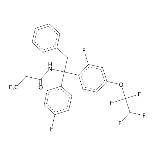 O=C(CC(F)(F)F)NC(Cc1ccccc1)(c1ccc(F)cc1)c1ccc(OC(F)(F)C(F)F)cc1F